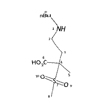 CCCCNCCC(C)(C(=O)O)S(C)(=O)=O